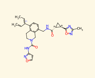 C=C/C(=C\C)c1ccc(CNC(=O)[C@@H]2C[C@H]2c2nc(C)no2)c2c1CCN(C(=O)Nc1ccon1)C2